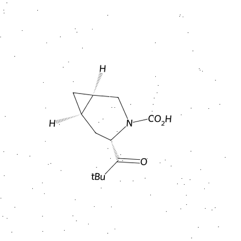 CC(C)(C)C(=O)[C@@H]1C[C@H]2C[C@H]2CN1C(=O)O